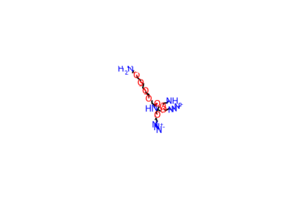 [N-]=[N+]=NCCOCC(COCCN)(COCCN=[N+]=[N-])NC(=O)CCOCCOCCOCCOCCN